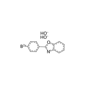 [B+2]c1ccc(-c2nc3ccccc3o2)cc1.[OH-].[OH-]